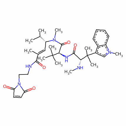 CN[C@H](C(=O)N[C@H](C(=O)N(C)[C@H](/C=C(\C)C(=O)NCCN1C(=O)C=CC1=O)C(C)C)C(C)(C)C)C(C)(C)c1cn(C)c2ccccc12